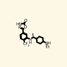 CCNC1CCC([C@H](C)Nc2cc(-c3n[nH]c(=O)o3)ccc2C(F)(F)F)CC1